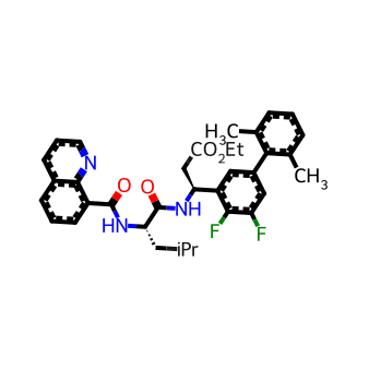 CCOC(=O)C[C@H](NC(=O)[C@H](CC(C)C)NC(=O)c1cccc2cccnc12)c1cc(-c2c(C)cccc2C)cc(F)c1F